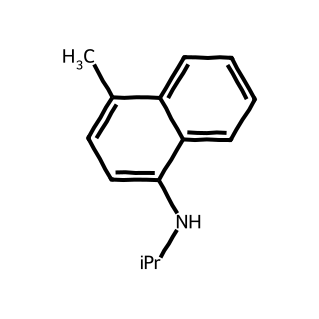 Cc1ccc(NC(C)C)c2ccccc12